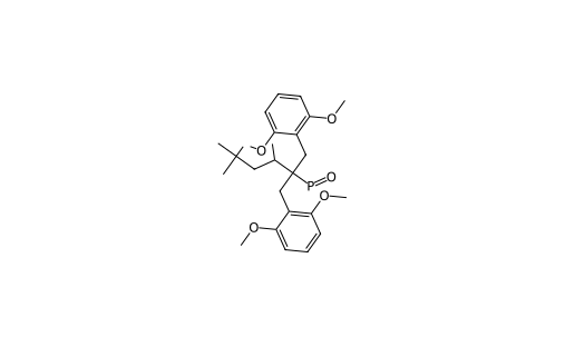 COc1cccc(OC)c1CC(Cc1c(OC)cccc1OC)(P=O)C(C)CC(C)(C)C